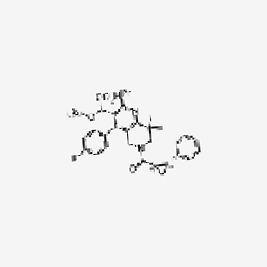 CC(C)c1nc2c(c(-c3ccc(F)cc3)c1C(OC(C)(C)C)C(=O)O)CN(C(=O)[C@@H]1C[C@H]1c1ccccc1)CC2(C)C